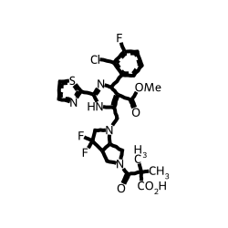 COC(=O)C1=C(CN2CC(F)(F)C3CN(C(=O)C(C)(C)C(=O)O)CC32)NC(c2nccs2)=NC1c1cccc(F)c1Cl